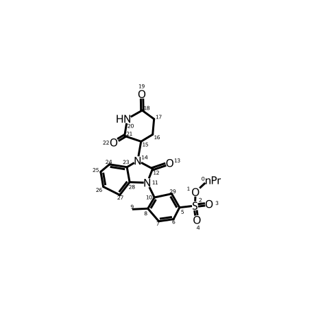 CCCOS(=O)(=O)c1ccc(C)c(-n2c(=O)n(C3CCC(=O)NC3=O)c3ccccc32)c1